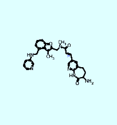 Cc1c(CN(C)C(=O)/C=C/c2cnc3c(c2)CCC(N)C(=O)N3)oc2cccc(CNc3cccnc3)c12